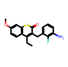 CCc1c(Cc2cccc(N)c2F)c(=O)sc2cc(OC)ccc12